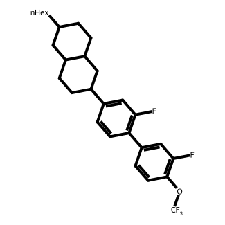 CCCCCCC1CCC2CC(c3ccc(-c4ccc(OC(F)(F)F)c(F)c4)c(F)c3)CCC2C1